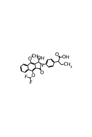 CCC(C(=O)O)c1ccc(N2C(=O)c3c(c(OC)c4ccccc4c3OC(F)F)C2O)cc1